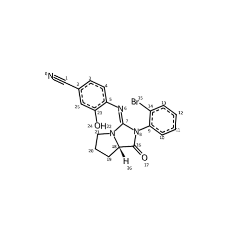 N#Cc1ccc(/N=C2/N(c3ccccc3Br)C(=O)[C@@H]3CCCN23)c(O)c1